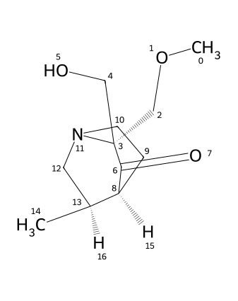 COC[C@]1(CO)C(=O)[C@H]2CCN1C[C@@H]2C